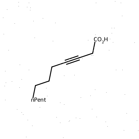 CCCCCCCCC#CCC(=O)O